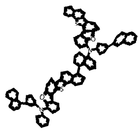 c1ccc(N(c2cccc(-c3cccc4ccccc34)c2)c2cccc3c2oc2ccc4c5ccc6c(-c7cccc8c(N(c9ccc(-c%10ccc%11ccccc%11c%10)cc9)c9cccc%10c9oc9ccc%11c%12ccc%13ccccc%13c%12sc%11c9%10)cccc78)cccc6c5sc4c23)cc1